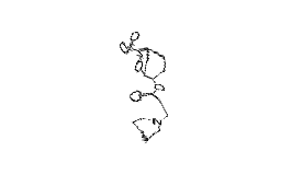 O=C(CN1CCCCC1)OC1CCC2CC1OS2(=O)=O